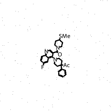 CSC1CCN(C(=O)c2cnc3ccc(F)cc3c2N2CCC(C(C)=O)(c3ccccc3)CC2)CC1